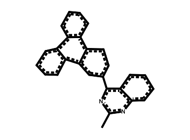 Cc1nc(-c2ccc3c4ccccc4c4ccccc4c3c2)c2ccccc2n1